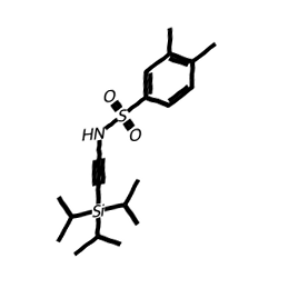 Cc1ccc(S(=O)(=O)NC#C[Si](C(C)C)(C(C)C)C(C)C)cc1C